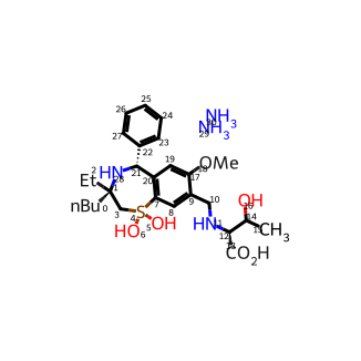 CCCC[C@]1(CC)CS(O)(O)c2cc(CN[C@H](C(=O)O)C(C)O)c(OC)cc2[C@@H](c2ccccc2)N1.N.N